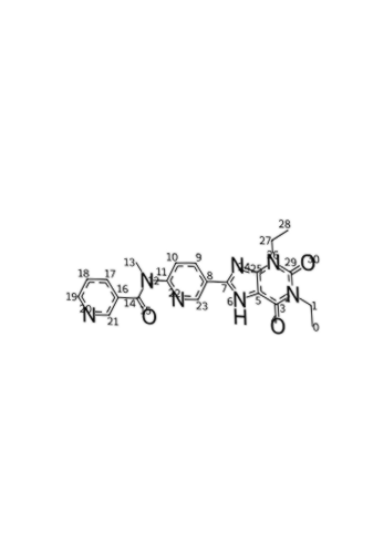 CCn1c(=O)c2[nH]c(-c3ccc(N(C)C(=O)c4cccnc4)nc3)nc2n(CC)c1=O